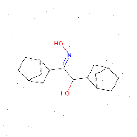 ON=C(C(O)C1CC2CCC1C2)C1CC2CCC1C2